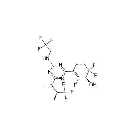 C[C@@H](N(C)c1nc(NCC(F)(F)F)nc(C2=C(F)[C@H](O)C(F)(F)CC2)n1)C(F)(F)F